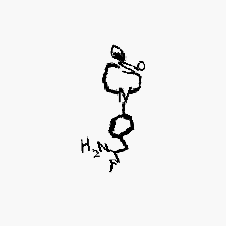 N[C@H](CF)Cc1ccc(N2CCCS(=O)(=O)CC2)cc1